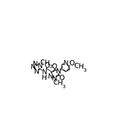 COc1ccc(-n2c(=O)c(C(=O)Nc3nnnn3C)nn(C)c2=O)cn1